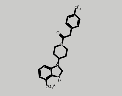 O=C(O)c1cccc2c1NCN2C1CCN(C(=O)Cc2ccc(C(F)(F)F)cc2)CC1